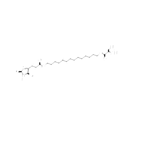 C=C(C)C(=O)OCCCCCCCCCCCCCCOC(=O)CCC1NC(=S)NC1=O